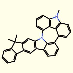 Cn1c2cccc3c4cccc5c6cc7c(cc6n(c6cccc1c6c32)c45)C(C)(C)c1ccccc1-7